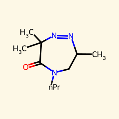 CCCN1CC(C)N=NC(C)(C)C1=O